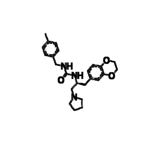 Cc1ccc(CNC(=O)N[C@@H](Cc2ccc3c(c2)OCCO3)CN2CCCC2)cc1